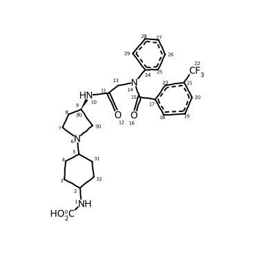 O=C(O)NC1CCC(N2CC[C@@H](NC(=O)CN(C(=O)c3cccc(C(F)(F)F)c3)c3ccccc3)C2)CC1